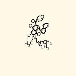 CCN(CC)CCN(CC)c1c(F)cc2c(=O)c(C(=O)N3CCOCC3)cn3c2c1Oc1ccc2ccccc2c1-3